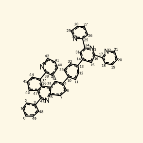 c1ccc(-c2nc3ccc(-c4ccc(-c5cc(-c6ccccn6)nc(-c6ccccn6)c5)cc4)cc3c3c(-c4ccccn4)cccc23)cc1